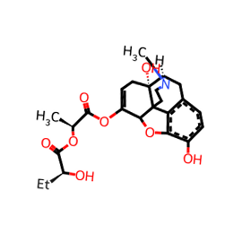 CC[C@H](O)C(=O)O[C@@H](C)C(=O)OC1=CC[C@@]2(O)[C@H]3Cc4ccc(O)c5c4C2(CCN3C)C1O5